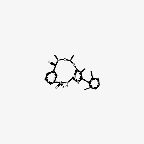 Cc1cccc(C)c1-c1nc2nc(c1C)OC(C)CN(C)C(=O)c1cccc(c1)S(=O)(=O)N2